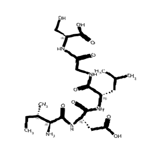 CC[C@H](C)[C@H](N)C(=O)N[C@@H](CC(=O)O)C(=O)N[C@@H](CC(C)C)C(=O)NCC(=O)N[C@@H](CO)C(=O)O